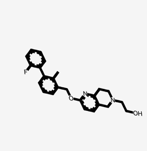 Cc1c(COc2ccc3c(n2)CCN(CCO)C3)cccc1-c1ccccc1F